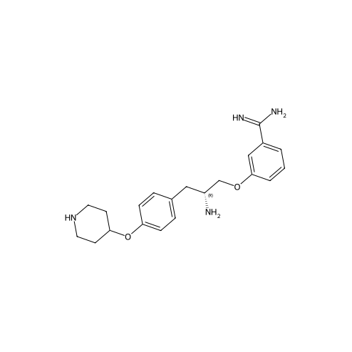 N=C(N)c1cccc(OC[C@H](N)Cc2ccc(OC3CCNCC3)cc2)c1